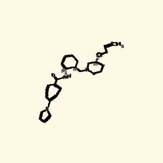 C=CCO[C@@H]1CCCN(C[C@@H]2CCCC[C@H]2NC(=O)c2ccc(-n3cccc3)cc2)C1